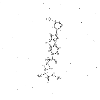 Cc1cccc(-c2cn3c(n2)sc2cc(C(=O)NC4CC(N(C)C(=O)OC(C)(C)C)C4)ccc23)c1